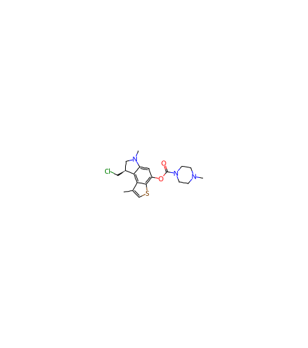 Cc1csc2c(OC(=O)N3CCN(C)CC3)cc3c(c12)[C@@H](CCl)CN3C